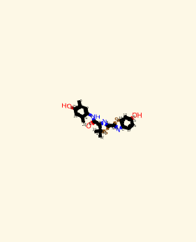 Cc1cc(NC(=O)C2N=C(c3nc4ccc(O)cc4s3)SC2(C)C)c(C)cc1O